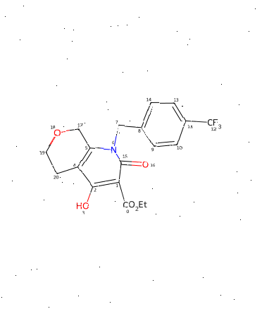 CCOC(=O)c1c(O)c2c(n(Cc3ccc(C(F)(F)F)cc3)c1=O)COCC2